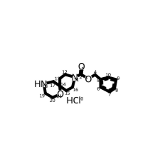 Cl.O=C(OCc1ccccc1)N1CCC2(CC1)CNCCO2